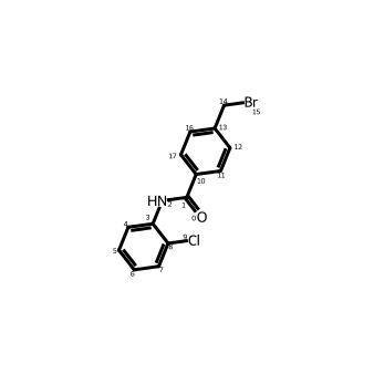 O=C(Nc1ccccc1Cl)c1ccc(CBr)cc1